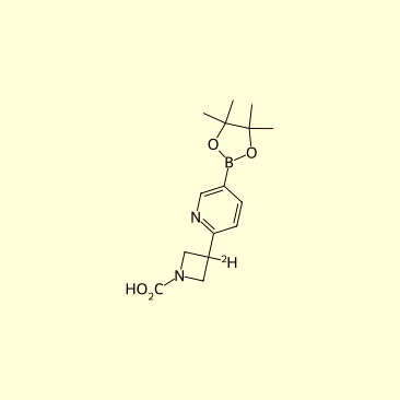 [2H]C1(c2ccc(B3OC(C)(C)C(C)(C)O3)cn2)CN(C(=O)O)C1